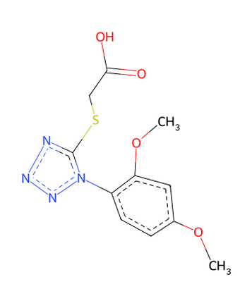 COc1ccc(-n2nnnc2SCC(=O)O)c(OC)c1